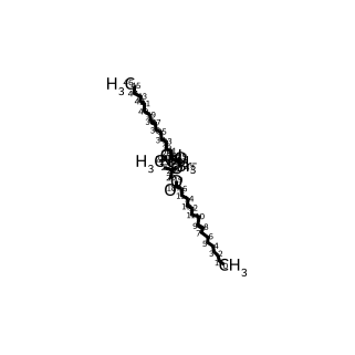 CCCCCCCCC=CCCCCCCCC(=O)OCC(C[N+](C)(C)C)OC(=O)CCCCCCCC=CCCCCCCCC.[Br-]